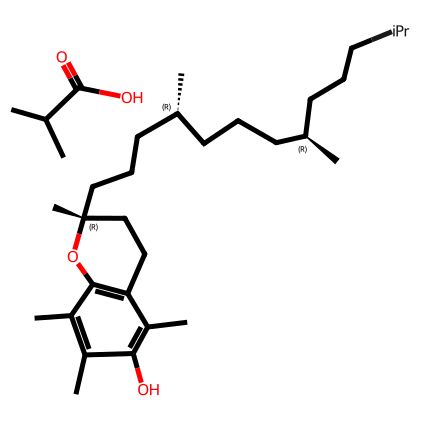 CC(C)C(=O)O.Cc1c(C)c2c(c(C)c1O)CC[C@@](C)(CCC[C@H](C)CCC[C@H](C)CCCC(C)C)O2